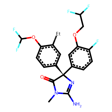 CCc1cc([C@@]2(c3ccc(F)c(OCC(F)F)c3)N=C(N)N(C)C2=O)ccc1OC(F)F